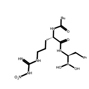 CCC(C)C(=O)N[C@@H](CCCNC(=N)N[N+](=O)[O-])C(=O)N[C@@H](CC(C)C)B(O)O